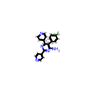 Nc1nc(-c2ccncc2)nc(-c2ccncc2)c1-c1ccc(F)cc1